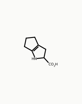 O=C(O)C1CC2=C(CCC2)N1